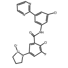 O=C(Nc1cc(Cl)cc(-c2ncccn2)c1)c1cc(N2CCC[S+]2[O-])cc(F)c1Cl